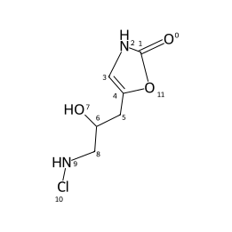 O=c1[nH]cc(CC(O)CNCl)o1